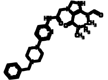 CN(C)C(=O)C1=C(N(C)C=O)NCN1CC(=O)Nc1ccc(N2CCN(Cc3ccccc3)CC2)cn1